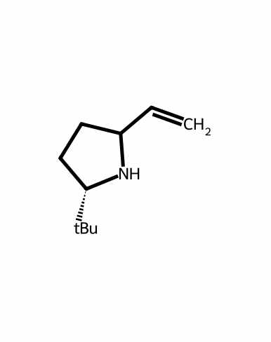 C=CC1CC[C@@H](C(C)(C)C)N1